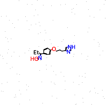 CCC(=NO)c1ccc(OCCCc2c[nH]cn2)cc1